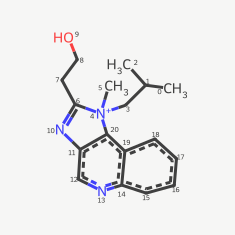 CC(C)C[N+]1(C)C(CCO)=Nc2cnc3ccccc3c21